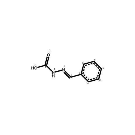 O=C(O)NN=Cc1ccccc1